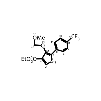 CCOC(=O)c1csc(-c2ccc(C(F)(F)F)cc2)c1OCOC